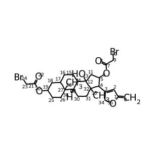 C=C1C=C(C2C(OC(=O)CBr)CC3(O)C4CCC5CC(OC(=O)CBr)CCC5(C)[C@H]4CCC23C)CO1